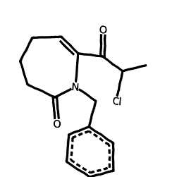 CC(Cl)C(=O)C1=CCCCC(=O)N1Cc1ccccc1